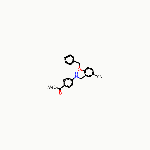 COC(=O)c1ccc(NCc2cc(C#N)ccc2OCc2ccccc2)cc1